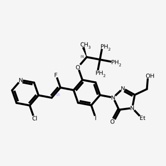 CCn1c(CO)nn(-c2cc(O[C@@H](C)C(P)(P)P)c(/C(F)=C/c3cnccc3Cl)cc2I)c1=O